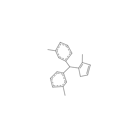 CC1=C(C(c2cccc(C)c2)c2cccc(C)c2)CC=C1